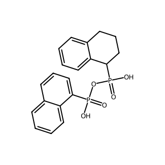 O=P(O)(OP(=O)(O)C1CCCc2ccccc21)c1cccc2ccccc12